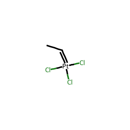 C[CH]=[Pt]([Cl])([Cl])[Cl]